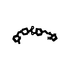 Cc1cccc(CN2CCN(C(=O)Oc3ccc(CCSc4ncc[nH]4)cc3)CC2)n1